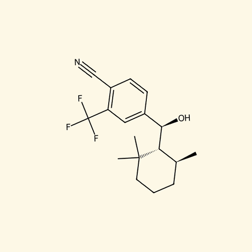 C[C@H]1CCCC(C)(C)[C@@H]1[C@H](O)c1ccc(C#N)c(C(F)(F)F)c1